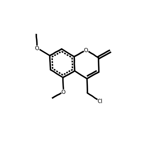 C=C1C=C(CCl)c2c(OC)cc(OC)cc2O1